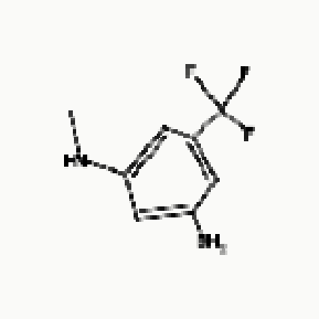 Bc1cc(NC)cc(C(F)(F)F)c1